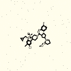 COC[C@H]1CCCN1C1CC(C(=O)N2CCC(c3cc(Cl)c(C)cc3N(CC3CC3)S(C)(=O)=O)CC2)[C@H](c2ccc(F)cc2F)C1